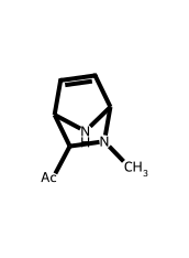 CC(=O)C1C2C=CC(N2)N1C